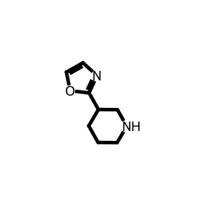 c1coc(C2CCCNC2)n1